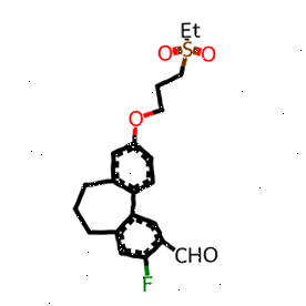 CCS(=O)(=O)CCCOc1ccc2c(c1)CCCc1cc(F)c(C=O)cc1-2